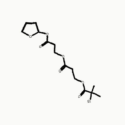 CCC(C)(C)C(=O)OCCC(=O)OCCC(=O)OC1CCCO1